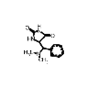 CN(C)C(c1ccccc1)C1NC(=O)NC1=O